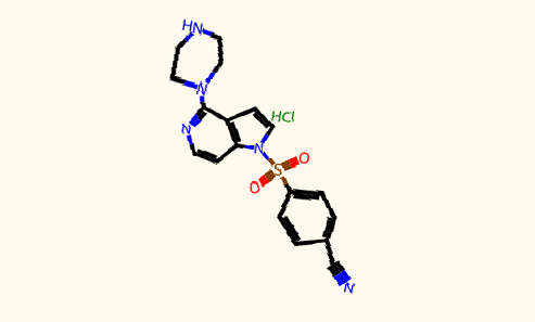 Cl.N#Cc1ccc(S(=O)(=O)n2ccc3c(N4CCNCC4)nccc32)cc1